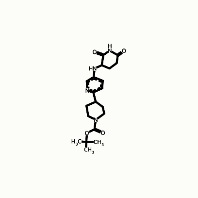 CC(C)(C)OC(=O)N1CCC(c2ccc(NC3CCC(=O)NC3=O)cn2)CC1